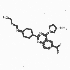 N[C@H]1CCN(c2nc(C3CCC(=NCCCO)CC3)nc3ccc(C(F)F)cc23)C1